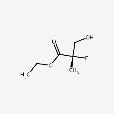 CCOC(=O)[C@@](C)(F)CO